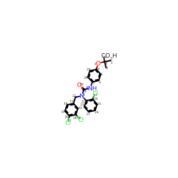 CC(C)(Oc1ccc(NC(=O)N(Cc2ccc(Cl)c(Cl)c2)c2ccccc2Cl)cc1)C(=O)O